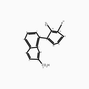 O=C(O)c1ccc2cccc(-c3cccc(F)c3Cl)c2c1